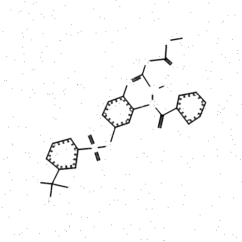 COC(=O)NC1=Nc2ccc(OS(=O)(=O)c3cccc(C(F)(F)F)c3)cc2N(C(=O)c2ccccc2)[S+]1[O-]